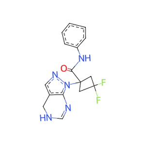 O=C(Nc1ccccc1)C1(n2ncc3c2N=CNC3)CC(F)(F)C1